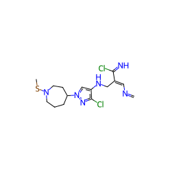 C=N/C=C(\CNc1cn(C2CCCN(SC)CC2)nc1Cl)C(=N)Cl